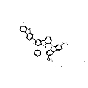 Cc1ccc2c(c1)c1ccc(C)cc1n2-c1cccc2c1sc1c(-c3ccccc3)cc(-c3ccc4c(c3)sc3ccccc34)cc12